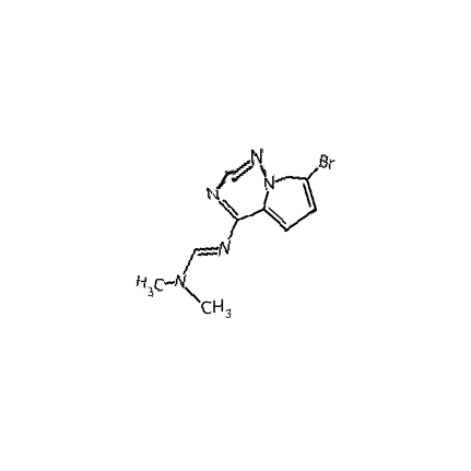 CN(C)C=Nc1ncnn2c(Br)ccc12